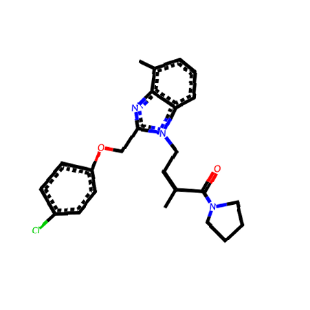 Cc1cccc2c1nc(COc1ccc(Cl)cc1)n2CCC(C)C(=O)N1CCCC1